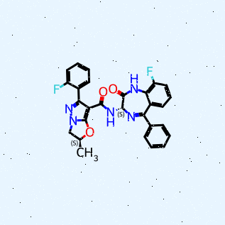 C[C@H]1Cn2nc(-c3ccccc3F)c(C(=O)N[C@H]3N=C(c4ccccc4)c4cccc(F)c4NC3=O)c2O1